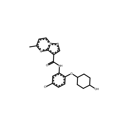 Cc1ccn2ncc(C(=O)Nc3cc(Cl)ccc3OC3CCC(O)CC3)c2n1